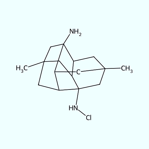 CC12CC3C4CC5(C)CC(C(C1)C3(NCl)C5)C4(N)C2